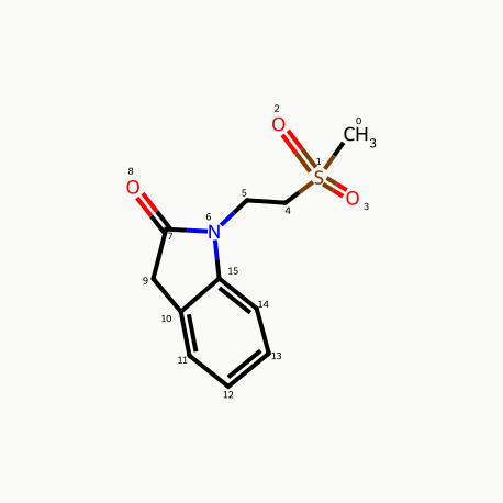 CS(=O)(=O)CCN1C(=O)Cc2ccccc21